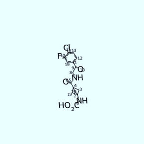 O=C(O)NC12CC(C(=O)NCC(=O)c3ccc(Cl)c(F)c3)(C1)C2